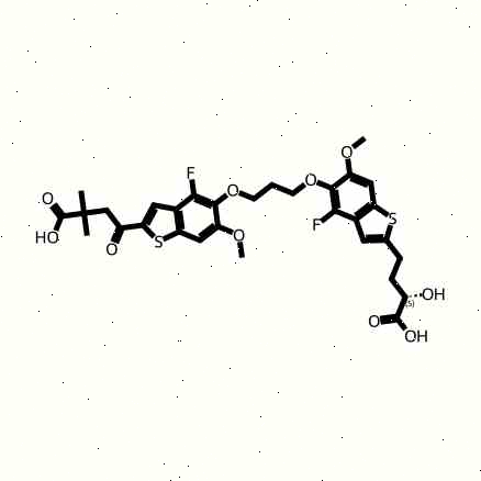 COc1cc2sc(CC[C@H](O)C(=O)O)cc2c(F)c1OCCCOc1c(OC)cc2sc(C(=O)CC(C)(C)C(=O)O)cc2c1F